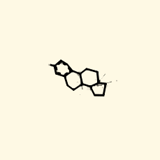 C[C@]12CC[C@@H]3c4ccc(O)cc4CC[C@H]3[C@@H]1CC[C@@H]2O.[H+]